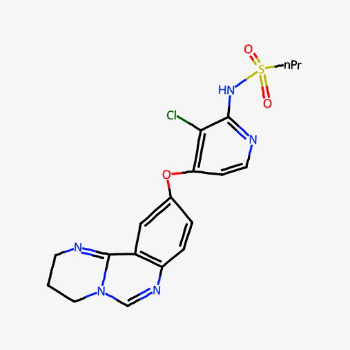 CCCS(=O)(=O)Nc1nccc(Oc2ccc3c(c2)C2=NCCCN2C=N3)c1Cl